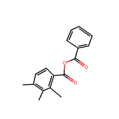 Cc1ccc(C(=O)OC(=O)c2ccccc2)c(C)c1C